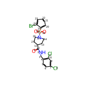 O=C(NCc1ccc(Cl)cc1Cl)C1CCN(S(=O)(=O)c2ccccc2Br)CC1